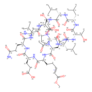 COC(=O)/C=C/CC[C@H](NC(=O)[C@H](CC(N)=O)NC(C)=O)C(=O)N[C@@H](CCC(=O)O)C(=O)N[C@@H](CCC(N)=O)C(=O)N[C@H](C(=O)N[C@@H](CO)C(=O)N1CCC[C@H]1C(=O)N[C@@H](CC(C)C)C(=O)N[C@H](C(=O)N[C@@H](CC(C)C)C(=O)N[C@@H](CC(C)C)C(=O)N[C@@H](CCCCN)C(=O)O)C(C)O)C(C)C